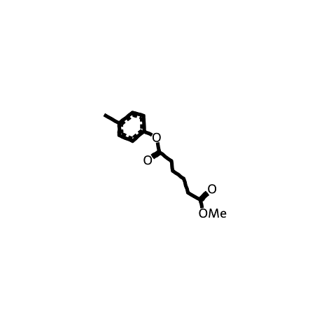 COC(=O)CCCCC(=O)Oc1ccc(C)cc1